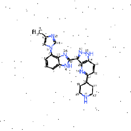 Cc1cn(-c2cccc3[nH]c(-c4n[nH]c5ccc(C6CCNCC6)nc45)nc23)cn1